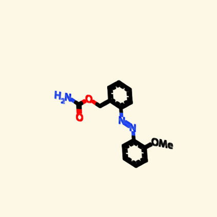 COc1ccccc1/N=N/c1ccccc1COC(N)=O